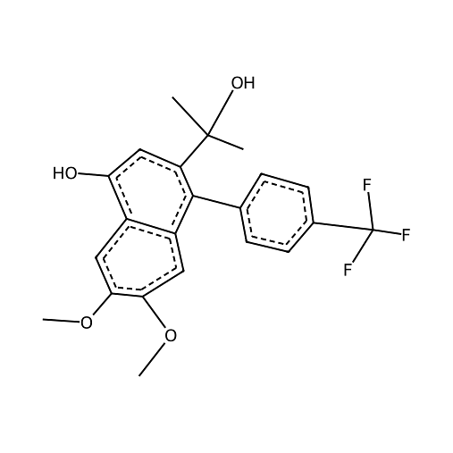 COc1cc2c(O)cc(C(C)(C)O)c(-c3ccc(C(F)(F)F)cc3)c2cc1OC